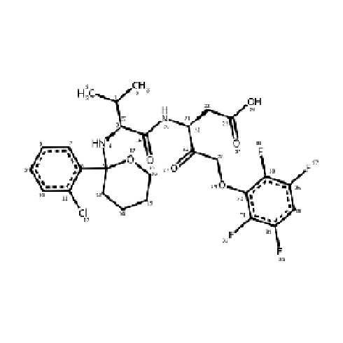 CC(C)[C@H](NC1(c2ccccc2Cl)CCCCO1)C(=O)N[C@@H](CC(=O)O)C(=O)COc1c(F)c(F)cc(F)c1F